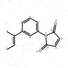 CC=C(C)c1cccc(N2C(=O)C=CC2=O)c1